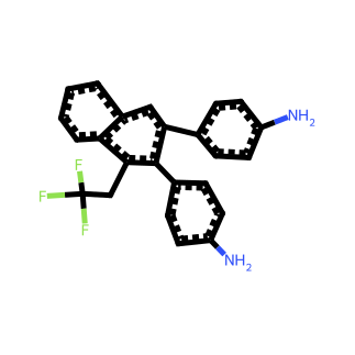 Nc1ccc(-c2cc3ccccc3c(CC(F)(F)F)c2-c2ccc(N)cc2)cc1